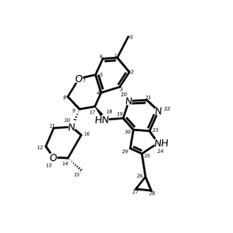 Cc1ccc2c(c1)OC[C@@H](N1CCO[C@@H](C)C1)[C@@H]2Nc1ncnc2[nH]c(C3CC3)cc12